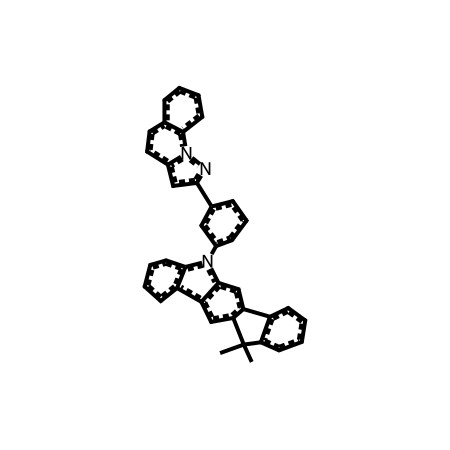 CC1(C)c2ccccc2-c2cc3c(cc21)c1ccccc1n3-c1cccc(-c2cc3ccc4ccccc4n3n2)c1